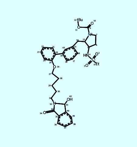 CCS(=O)(=O)NC1CCN(C(=O)OC(C)(C)C)C1Cc1cccc(-c2ccccc2OCCCCCN2C(=O)c3ccccc3C2O)c1